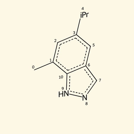 Cc1cc(C(C)C)cc2cn[nH]c12